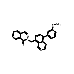 COc1cccc(-c2ccc(Cn3ncc4ccccc4c3=O)c3cnccc23)c1